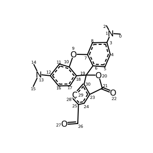 CN(C)c1ccc2c(c1)Oc1cc(N(C)C)ccc1C21OC(=O)c2cc(C=O)ccc21